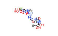 CCNC(=O)c1nnc(-c2cc(C(C)C)c(O)cc2O)n1-c1ccc(OC2CCN(c3cnc(C(=O)NC(C(=O)Nc4ccn([C@@H]5O[C@H](CO)[C@@H](O)C5(F)F)c(=O)n4)C(C)C)cn3)CC2)cc1